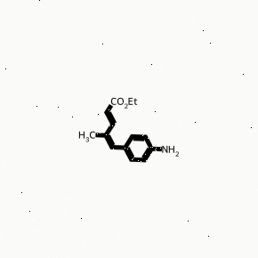 CCOC(=O)C=CC(C)=Cc1ccc(N)cc1